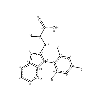 Cc1cc(C)c(-n2c(SC(C)C(=O)O)nc3cccnc32)c(C)c1